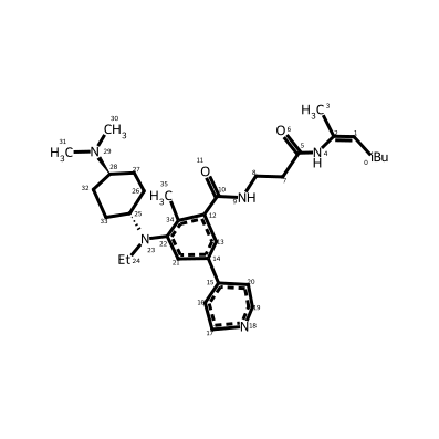 CCC(C)/C=C(/C)NC(=O)CCNC(=O)c1cc(-c2ccncc2)cc(N(CC)[C@H]2CC[C@H](N(C)C)CC2)c1C